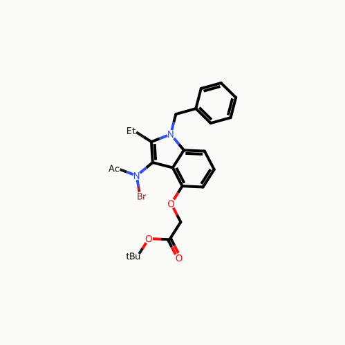 CCc1c(N(Br)C(C)=O)c2c(OCC(=O)OC(C)(C)C)cccc2n1Cc1ccccc1